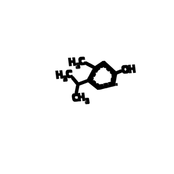 Cc1cc(O)[c]cc1C(C)C